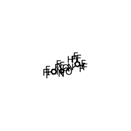 O=C(NCc1cc(C(F)(F)F)cc(C(F)(F)F)c1)Oc1cnn(-c2ccc(C(F)(F)F)cc2)c1C(F)(F)F